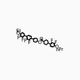 CCCOc1ccc(C2CCC(C(=O)OC3CC=C(c4ccc(-c5ccc(OCC)c(F)c5F)c(F)c4F)CC3)CC2)c(F)c1F